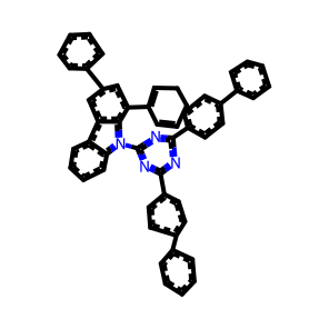 C1=CC(c2cc(-c3ccccc3)cc3c4ccccc4n(-c4nc(-c5ccc(-c6ccccc6)cc5)nc(-c5ccc(-c6ccccc6)cc5)n4)c23)=CCC1